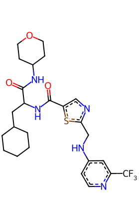 O=C(NC(CC1CCCCC1)C(=O)NC1CCOCC1)c1cnc(CNc2ccnc(C(F)(F)F)c2)s1